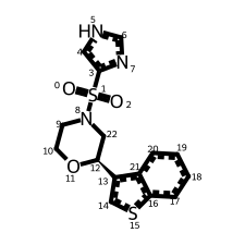 O=S(=O)(c1c[nH]cn1)N1CCO[C@H](c2csc3ccccc23)C1